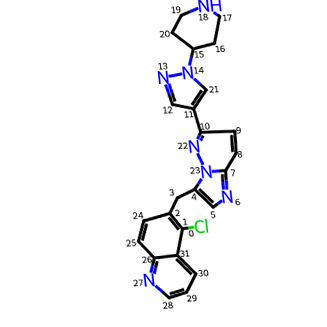 Clc1c(Cc2cnc3ccc(-c4cnn(C5CCNCC5)c4)nn23)ccc2ncccc12